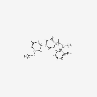 CCc1cncc(-c2ccc(N[C@H](C)c3ccccc3F)nc2)c1